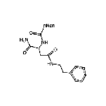 CCCCCCCCCC(=O)NC(CC(=O)NCCc1ccccc1)C(N)=O